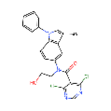 CC(C)c1cn(-c2ccccc2)c2ccc(N(CCO)C(=O)c3c(Cl)ncnc3Cl)cc12